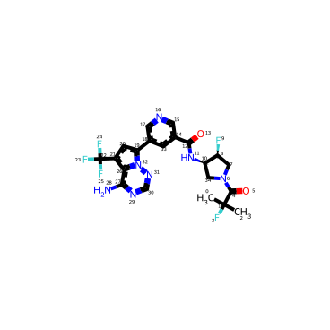 CC(C)(F)C(=O)N1C[C@H](F)[C@H](NC(=O)c2cncc(-c3cc(C(F)(F)F)c4c(N)ncnn34)c2)C1